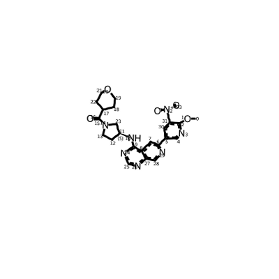 COc1ncc(-c2cc3c(N[C@H]4CCN(C(=O)C5CCOCC5)C4)ncnc3cn2)cc1[N+](=O)[O-]